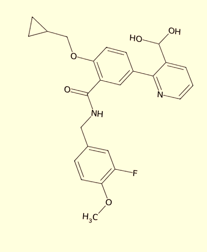 COc1ccc(CNC(=O)c2cc(-c3ncccc3C(O)O)ccc2OCC2CC2)cc1F